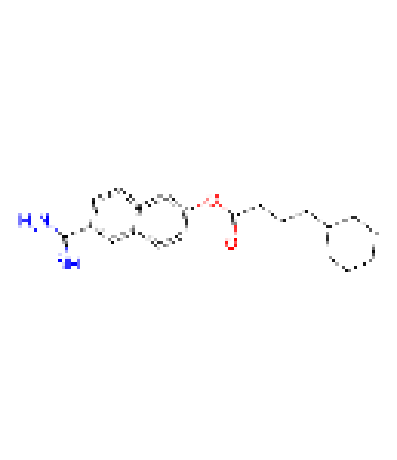 N=C(N)c1ccc2cc(OC(=O)CCCC3CCCCC3)ccc2c1